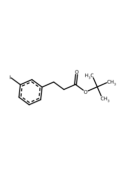 CC(C)(C)OC(=O)CCc1cccc(I)c1